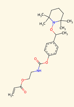 C=CC(=O)OCCNC(=O)Oc1ccc(C(C)ON2C(C)(C)CCCC2(C)C)cc1